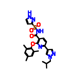 Cc1cc(C)c(Oc2nc(-c3cnn(CC(C)C)c3)ccc2C(=O)NS(=O)(=O)c2cc[nH]n2)c(C)c1